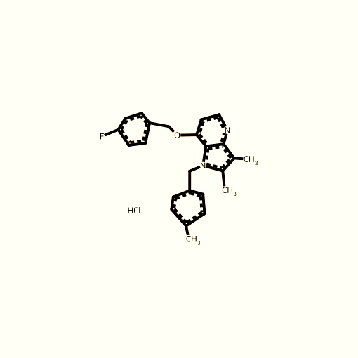 Cc1ccc(Cn2c(C)c(C)c3nccc(OCc4ccc(F)cc4)c32)cc1.Cl